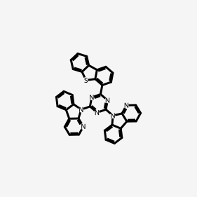 c1ccc2c(c1)sc1c(-c3nc(-n4c5ccccc5c5cccnc54)nc(-n4c5ccccc5c5cccnc54)n3)cccc12